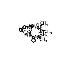 CCCC[C@H]1C(=O)N(C)[C@@H](CCC)C(=O)NC(C2CCCCC2)C(=O)N[C@@H](CNC(=O)OCc2ccccc2)C(=O)N[C@@H]([C@H](C)OCc2ccccc2)C(=O)N[C@H](C)CN1CCCC